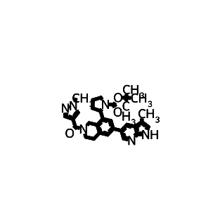 Cc1c[nH]c2ncc(-c3cc4c(c(C5CCCN5C(=O)OC(C)(C)C)c3)CN(C(=O)c3cnn(C)c3)CC4)cc12